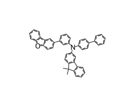 CC1(C)c2ccccc2-c2cc(N(c3ccc(-c4ccccc4)cc3)c3cccc(-c4ccc5oc6ccccc6c5c4)c3)ccc21